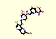 COc1ccc2ncc(Cl)c(CCN3CC[C@H](NCc4ccc5c(n4)NC(=O)CS5)[C@@H](O)C3)c2n1